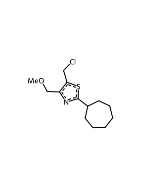 COCc1nc(C2CCCCCC2)sc1CCl